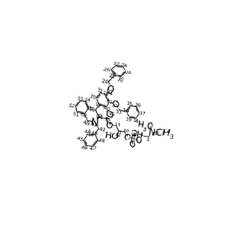 CN(C)CCOP(=O)(O)OCC(O)COC(=O)[C@H](Cc1ccc(OCc2ccccc2)c(OCc2ccccc2)c1)N(Cc1ccccc1)Cc1ccccc1